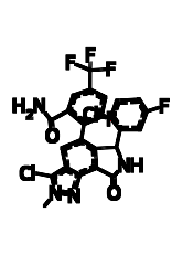 Cn1nc2c3c(c(-c4c(F)cc(C(F)(F)F)cc4C(N)=O)cc2c1Cl)C(c1cc(F)ccc1Cl)NC3=O